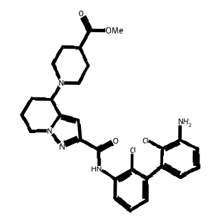 COC(=O)C1CCN(C2CCCn3nc(C(=O)Nc4cccc(-c5cccc(N)c5Cl)c4Cl)cc32)CC1